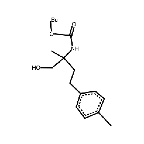 Cc1ccc(CCC(C)(CO)NC(=O)OC(C)(C)C)cc1